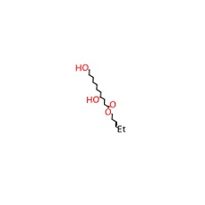 CCC=CCCOC(=O)CCC(O)CCCCCCCO